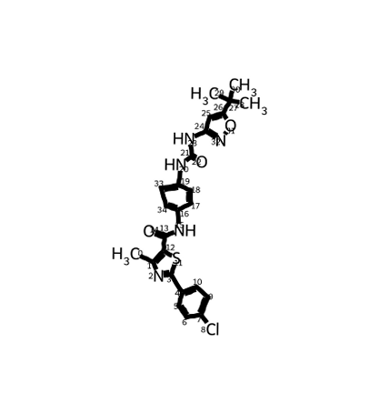 Cc1nc(-c2ccc(Cl)cc2)sc1C(=O)Nc1ccc(NC(=O)Nc2cc(C(C)(C)C)on2)cc1